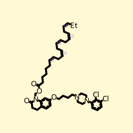 CC/C=C\C/C=C\C/C=C\C/C=C\C/C=C\CCCCCC(=O)OCN1C(=O)CCc2ccc(OCCCCN3CCN(c4cccc(Cl)c4Cl)CC3)cc21